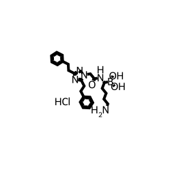 Cl.NCCCCC(NC(=O)Cn1nc(CCc2ccccc2)nc1CCc1ccccc1)B(O)O